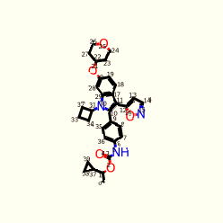 CC(OC(=O)Nc1ccc(-c2c(-c3ccno3)c3ccc(OC4CCOCC4)cc3n2C2CCC2)cc1)C1CC1